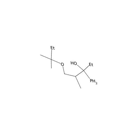 CCC(C)(C)OCC(C)C(O)(P)CC